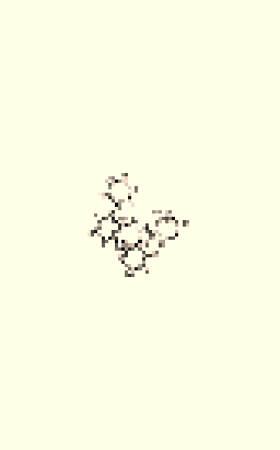 Oc1cccc(-c2ccccc2)c1CC(c1cccnc1)c1cccnc1